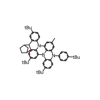 Cc1cc2c3c(c1)N(c1ccc(C(C)(C)C)cc1C1CC4CCC1C4)c1ccc(C(C)(C)C)cc1B3c1cc(C(C)(C)C)ccc1N2c1ccc(C(C)(C)C)cc1